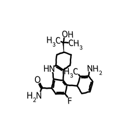 CC1=C(N)C=CCC1c1c(F)cc(C(N)=O)c2[nH]c3c(c12)CC[C@H](C(C)(C)O)C3